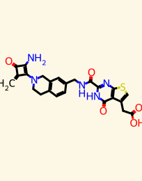 C=C1C(=O)C(N)=C1N1CCc2ccc(CNC(=O)c3nc4scc(CC(=O)O)c4c(=O)[nH]3)cc2C1